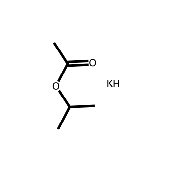 CC(=O)OC(C)C.[KH]